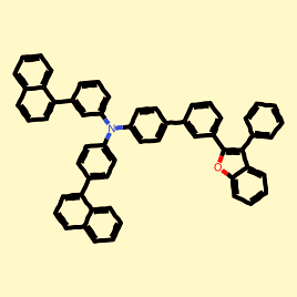 c1ccc(-c2c(-c3cccc(-c4ccc(N(c5ccc(-c6cccc7ccccc67)cc5)c5cccc(-c6cccc7ccccc67)c5)cc4)c3)oc3ccccc23)cc1